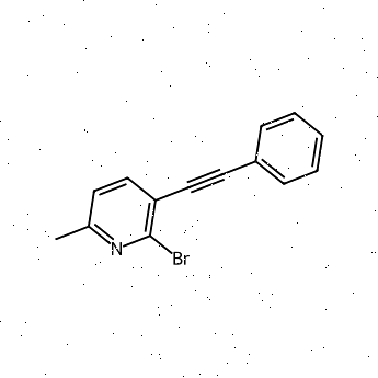 Cc1ccc(C#Cc2ccccc2)c(Br)n1